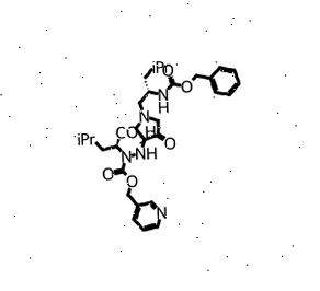 CC(C)C[C@@H](CN1CC(=O)C(NN(C(=O)OCc2cccnc2)[C@@H](CC(C)C)C(=O)O)C1)NC(=O)OCc1ccccc1